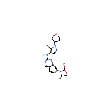 Cc1c(Nc2ncc3ccc(N4C(=O)OC[C@H]4C)cc3n2)cnn1C1CCOCC1